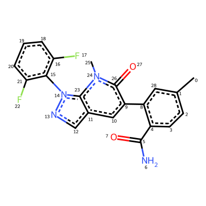 Cc1ccc(C(N)=O)c(-c2cc3cnn(-c4c(F)cccc4F)c3n(C)c2=O)c1